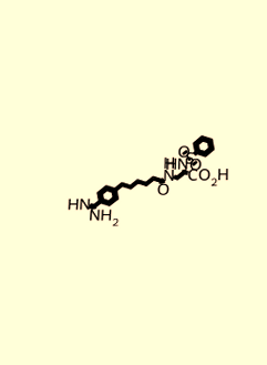 N=C(N)c1ccc(CCCCCC(=O)NCC(NS(=O)(=O)c2ccccc2)C(=O)O)cc1